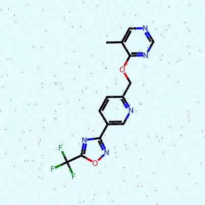 Cc1cncnc1OCc1ccc(-c2noc(C(F)(F)F)n2)cn1